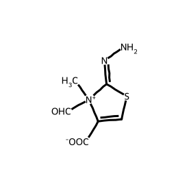 C[N+]1(C=O)C(C(=O)[O-])=CSC1=NN